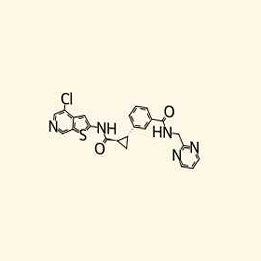 O=C(NCc1ncccn1)c1cccc([C@@H]2C[C@H]2C(=O)Nc2cc3c(Cl)cncc3s2)c1